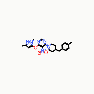 Cc1ccc(CC2CCN(c3ncnc(Oc4cc(C)nn4C)c3[N+](=O)[O-])CC2)cc1